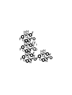 O=C(Nc1ccc(F)c(F)c1)Nc1ccc(F)c(Oc2ccc3ncc(CN4CCCC4)nc3c2)c1.O=C(Nc1ccc(F)c(Oc2ccc3ncc(CN4CCOCC4)nc3c2)c1)Nc1ccc(F)c(C(F)(F)F)c1.O=C(Nc1ccc(F)cc1)Nc1ccc(F)c(Oc2ccc3ncc(CN4CCCC4)nc3c2)c1.O=C(Nc1cccc(F)c1)Nc1ccc(F)c(Oc2ccc3ncc(CN4CCCC4)nc3c2)c1